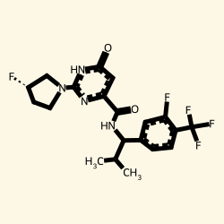 CC(C)C(NC(=O)c1cc(=O)[nH]c(N2CC[C@H](F)C2)n1)c1ccc(C(F)(F)F)c(F)c1